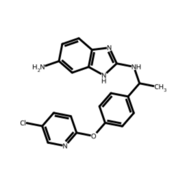 CC(Nc1nc2ccc(N)cc2[nH]1)c1ccc(Oc2ccc(Cl)cn2)cc1